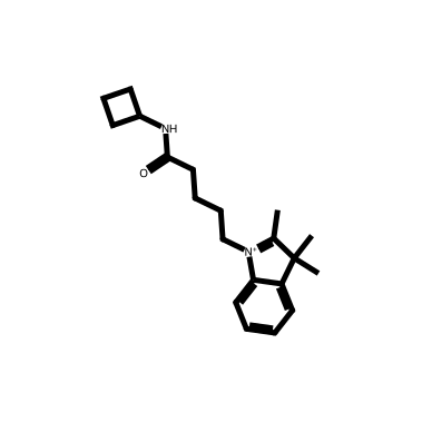 CC1=[N+](CCCCC(=O)NC2CCC2)c2ccccc2C1(C)C